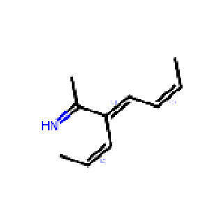 C\C=C/C=C(\C=C/C)C(C)=N